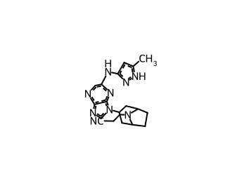 Cc1cc(Nc2cnc3ncn(C4CC5CCC(C4)N5CCC#N)c3n2)n[nH]1